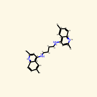 Cc1ccc2nc(C)cc(NCCCCNc3cc(C)nc4ccc(C)cc34)c2c1